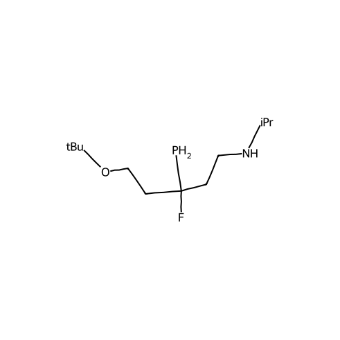 CC(C)NCCC(F)(P)CCOC(C)(C)C